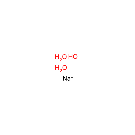 O.O.[Na+].[OH-]